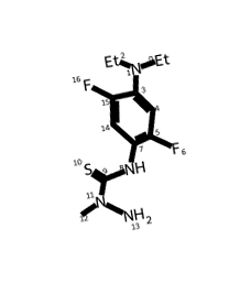 CCN(CC)c1cc(F)c(NC(=S)N(C)N)cc1F